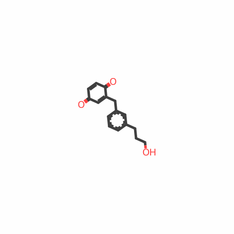 O=C1C=CC(=O)C(Cc2cccc(CCCO)c2)=C1